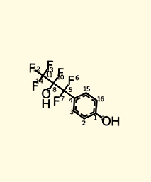 Oc1ccc(C(F)(F)C(O)(F)C(F)(F)F)cc1